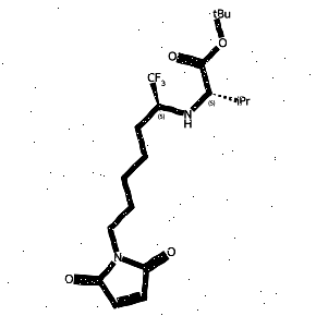 CC(C)[C@H](N[C@@H](CCCCCN1C(=O)C=CC1=O)C(F)(F)F)C(=O)OC(C)(C)C